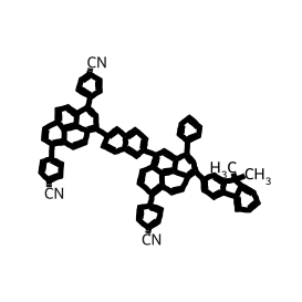 CC1(C)c2ccccc2-c2ccc(-c3cc(-c4ccccc4)c4cc(-c5ccc6cc(-c7cc(-c8ccc(C#N)cc8)c8ccc9ccc(-c%10ccc(C#N)cc%10)c%10ccc7c8c9%10)ccc6c5)c5ccc(-c6ccc(C#N)cc6)c6ccc3c4c65)cc21